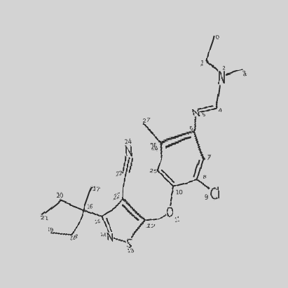 CCN(C)C=Nc1cc(Cl)c(Oc2snc(C(C)(CC)CC)c2C#N)cc1C